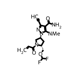 C#Cc1nn([C@H]2C[C@H](COC(F)F)N(C(=O)C=C)C2)c(NC)c1C(N)=O